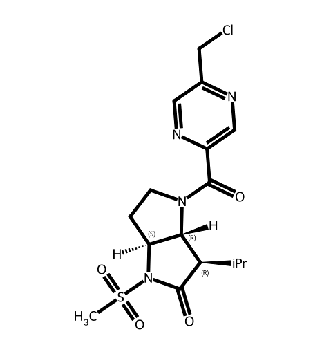 CC(C)[C@H]1C(=O)N(S(C)(=O)=O)[C@H]2CCN(C(=O)c3cnc(CCl)cn3)[C@H]12